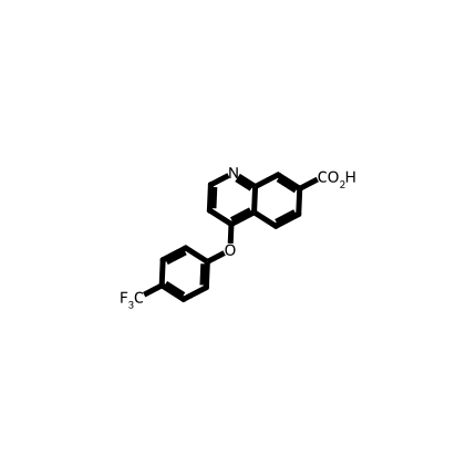 O=C(O)c1ccc2c(Oc3ccc(C(F)(F)F)cc3)ccnc2c1